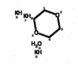 C1COCCO1.O.[KH].[KH].[KH]